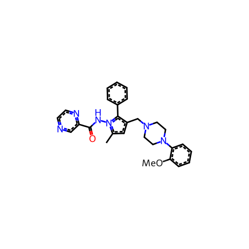 COc1ccccc1N1CCN(Cc2cc(C)n(NC(=O)c3cnccn3)c2-c2ccccc2)CC1